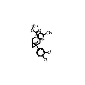 CC(C)(C)OC(=O)N1CCC2(c3ccc(Cl)c(Cl)c3)CC2(Cn2ccc(C#N)n2)C1